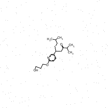 CC(C)CSC(CC(=O)C(C)C)c1ccc(OCCCO)nc1